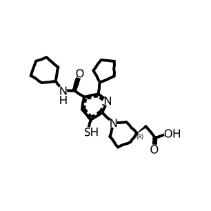 O=C(O)C[C@H]1CCCN(c2nc(C3CCCC3)c(C(=O)NC3CCCCC3)cc2S)C1